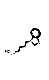 O=C(O)CCCCN1CSc2ccccc21